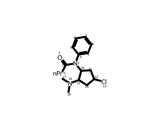 CCCC(=O)N(c1ccccc1)C1CC(Cl)CC1N(C)C